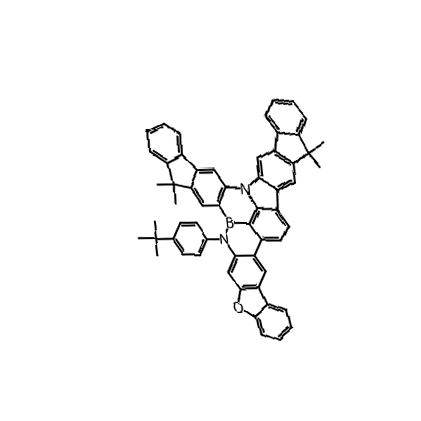 CC(C)(C)c1ccc(N2B3c4cc5c(cc4-n4c6cc7c(cc6c6ccc(c3c64)-c3cc4c(cc32)oc2ccccc24)C(C)(C)c2ccccc2-7)-c2ccccc2C5(C)C)cc1